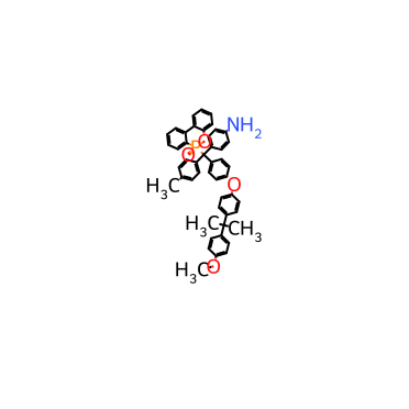 COc1ccc(C(C)(C)c2ccc(Oc3ccc(C(c4ccc(C)cc4)(c4ccc(N)cc4)P4(=O)Oc5ccccc5-c5ccccc54)cc3)cc2)cc1